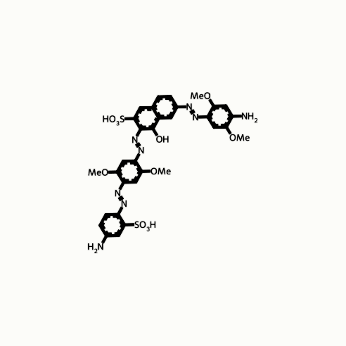 COc1cc(N=Nc2ccc3cc(S(=O)(=O)O)c(N=Nc4cc(OC)c(N=Nc5ccc(N)cc5S(=O)(=O)O)cc4OC)c(O)c3c2)c(OC)cc1N